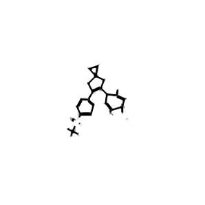 COC1(Cl)C=C(Cl)C(C2=C(c3ccc(S(=O)(=O)C(F)(F)F)cc3)CC3(CC3)C2)C=C1Cl